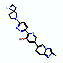 Cc1cn2cc(-c3cnc(-c4ccc(N5CCC6(CCN6)C5)nn4)c(O)c3)ccc2n1